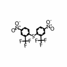 O=[N+]([O-])c1ccc(Sc2ccc([N+](=O)[O-])cc2C(F)(F)F)c(C(F)(F)F)c1